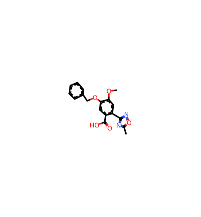 COc1cc(-c2noc(C)n2)c(C(=O)O)cc1OCc1ccccc1